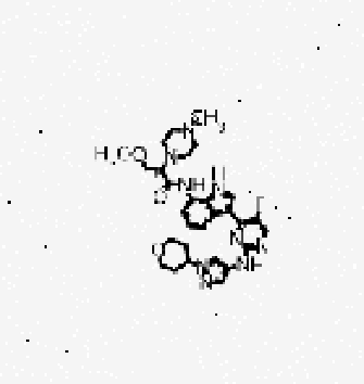 COC[C@H](C(=O)Nc1cccc2c(-c3nc(Nc4cnn(C5CCOCC5)c4)ncc3F)c[nH]c12)N1CCN(C)CC1